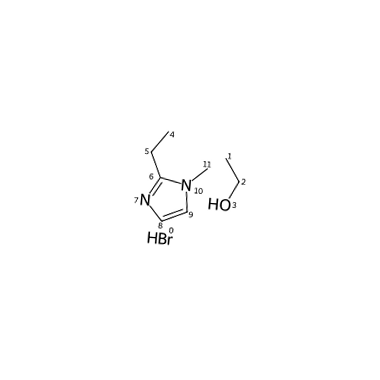 Br.CCO.CCc1nccn1C